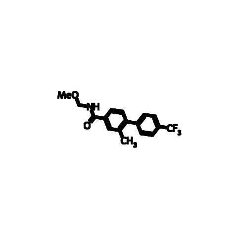 COCNC(=O)c1ccc(-c2ccc(C(F)(F)F)cc2)c(C)c1